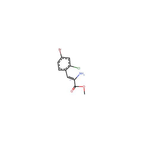 COC(=O)/C(N)=C/c1ccc(Br)cc1Cl